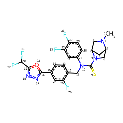 CN1CC2CC1CN2C(=S)N(Cc1ccc(-c2nnc(C(F)F)o2)cc1F)c1ccc(F)c(F)c1